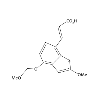 COCOc1ccc(/C=C/C(=O)O)c2sc(OC)cc12